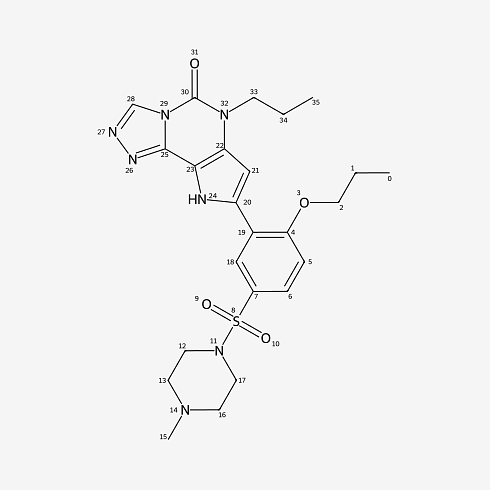 CCCOc1ccc(S(=O)(=O)N2CCN(C)CC2)cc1-c1cc2c([nH]1)c1nncn1c(=O)n2CCC